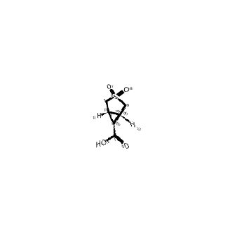 O=C(O)[C@H]1[C@@H]2CS(=O)(=O)C[C@@H]21